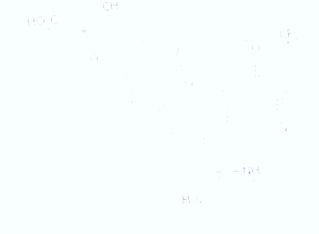 Cc1[nH]c2ccc(OC(F)(F)F)cc2c1Cc1cccc(O[C@@H](C)C(=O)O)c1